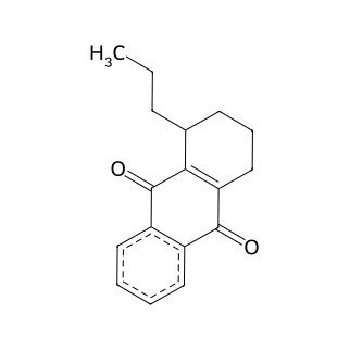 CCCC1CCCC2=C1C(=O)c1ccccc1C2=O